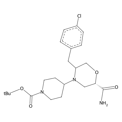 CC(C)(C)OC(=O)N1CCC(N2C[C@@H](C(N)=O)OCC2Cc2ccc(Cl)cc2)CC1